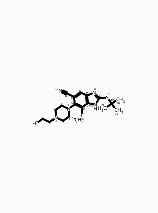 C[C@@H]1CN(CCF)CCN1c1c(C#N)cc2nc(SC(C)(C)C)[nH]c2c1F